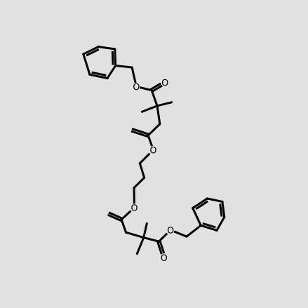 C=C(CC(C)(C)C(=O)OCc1ccccc1)OCCCOC(=C)CC(C)(C)C(=O)OCc1ccccc1